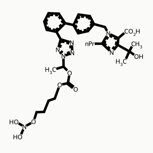 CCCc1nc(C(C)(C)O)c(C(=O)O)n1Cc1ccc(-c2ccccc2-c2nnn(C(C)OC(=O)OCCCCON(O)O)n2)cc1